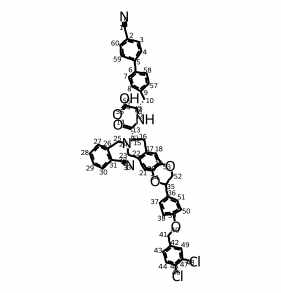 N#Cc1ccc(-c2ccc(C[C@H](NC(=O)[C@@H]3Cc4cc5c(cc4CN3Cc3ccccc3C#N)OC(c3ccc(OCc4ccc(Cl)c(Cl)c4)cc3)CO5)C(=O)O)cc2)cc1